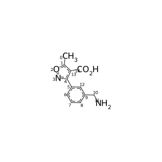 Cc1onc(-c2cccc(CN)c2)c1C(=O)O